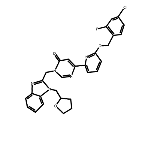 O=c1cc(-c2cccc(OCc3ccc(Cl)cc3F)n2)ncn1Cc1nc2ccccc2n1CC1CCCO1